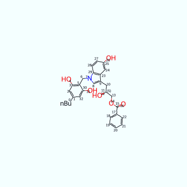 CCCCc1cc(O)c(Cn2cc(C[C@H](O)COC(=O)c3ccccc3)c3cc(O)ccc32)c(O)c1